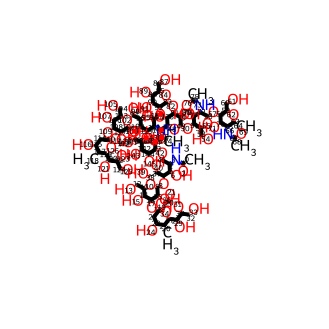 CC(=O)NC1C(O)[C@H](O[C@@H]2OC(CO)[C@H](O)[C@H](O[C@]3(OC=O)C[C@@H](O)[C@@H](C)C([C@H](O)[C@H](O)CO)O3)C2O)[C@H](CO)O[C@H]1OC1[C@@H](OCC2O[C@@H](O[C@@H]3C(CO)O[C@@H](O[C@@H]4C(CO)O[C@@H](C)C(NC(C)=O)[C@H]4O)C(NC(C)=O)[C@H]3O)C(O)[C@@H](O[C@H]3OC(CO)[C@@H](O)C(O)C3O[C@@H]3OC(CO)[C@@H](O[C@@H]4OC(CO)[C@H](O)[C@H](O[C@]5(OC=O)C[C@@H](O)[C@@H](C)C([C@H](O)[C@H](O)CO)O5)C4O)[C@H](O)C3NC(C)=O)[C@@H]2O)OC(CO)[C@@H](O)[C@@H]1O